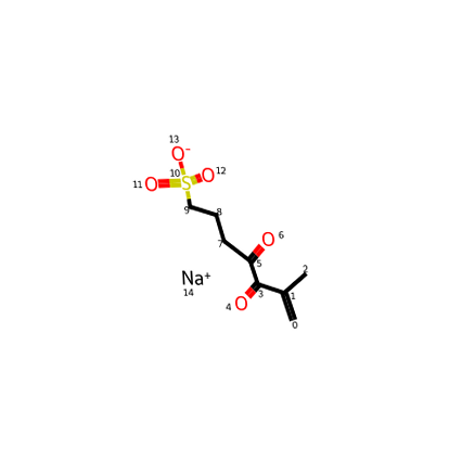 C=C(C)C(=O)C(=O)CCCS(=O)(=O)[O-].[Na+]